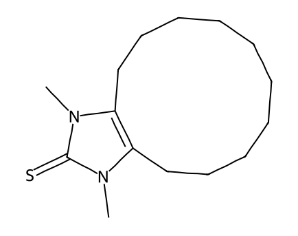 Cn1c2c(n(C)c1=S)CCCCCCCCCC2